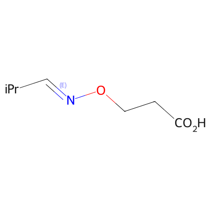 CC(C)/C=N/OCCC(=O)O